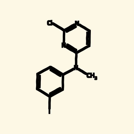 CN(c1cccc(I)c1)c1ccnc(Cl)n1